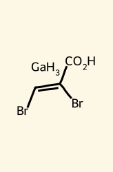 O=C(O)C(Br)=CBr.[GaH3]